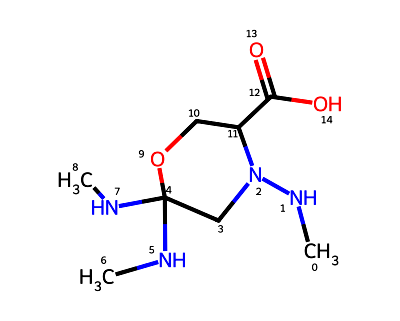 CNN1CC(NC)(NC)OCC1C(=O)O